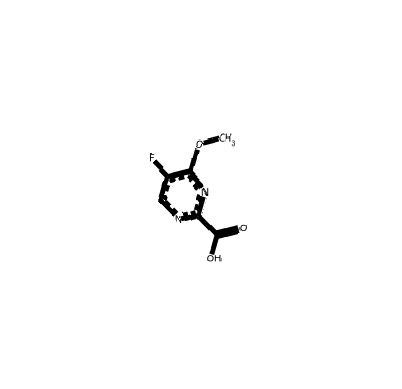 COc1nc(C(=O)O)ncc1F